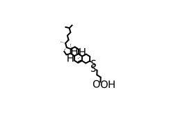 CC(C)CCC[C@@H](C)[C@H]1CC[C@H]2[C@@H]3CC=C4CC(SSCCCC(=O)O)CC[C@]4(C)[C@H]3CC[C@]12C